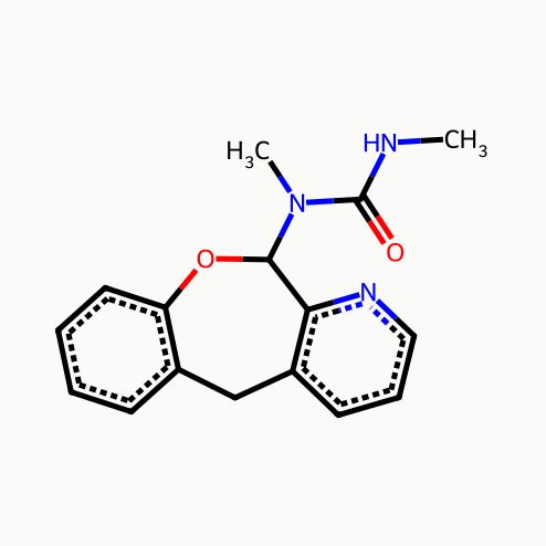 CNC(=O)N(C)C1Oc2ccccc2Cc2cccnc21